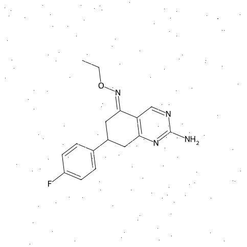 CCON=C1CC(c2ccc(F)cc2)Cc2nc(N)ncc21